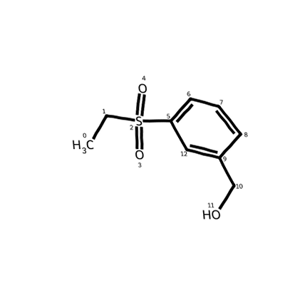 CCS(=O)(=O)c1cccc(CO)c1